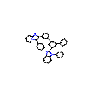 c1ccc(-c2cc(-c3cccc(-c4nc5ccccn5c4-c4ccccc4)c3)cc(-c3nc4ccccc4n3-c3ccccc3)c2)cc1